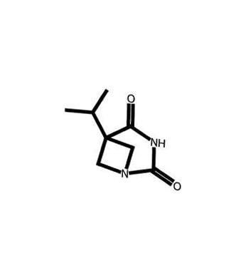 CC(C)C12CN(C1)C(=O)NC2=O